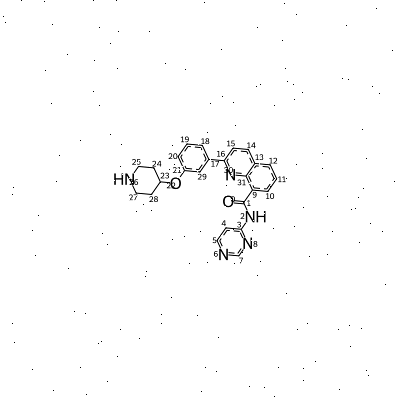 O=C(Nc1ccncn1)c1cccc2ccc(-c3cccc(OC4CCNCC4)c3)nc12